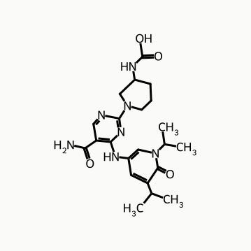 CC(C)c1cc(Nc2nc(N3CCCC(NC(=O)O)C3)ncc2C(N)=O)cn(C(C)C)c1=O